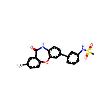 CS(=O)(=O)Nc1cccc(-c2ccc3c(c2)Oc2ccc(C(F)(F)F)cc2C(=O)N3)c1